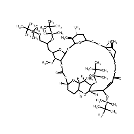 C=C1C2CC3O[C@H](CC(CO[Si](C)(C)C(C)(C)C)O[Si](C)(C)C(C)(C)C)[C@H](OC)C3CC(=O)C[C@H]3CC[C@@H]4O[C@@H](C(O[Si](C)(C)C(C)(C)C)/C=C/C(=O)CCC5CC(=C)[C@H](CCC(C[C@H]1C)O2)O5)C(O[Si](C)(C)C(C)(C)C)[C@@H](O)[C@H]4O3